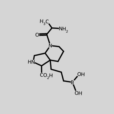 CC(N)C(=O)N1CCCC2(CCCB(O)O)C(C(=O)O)NCC12